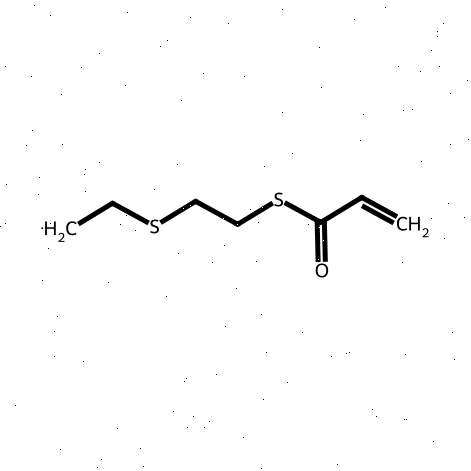 [CH2]CSCCSC(=O)C=C